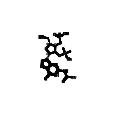 CC(C)C(=O)Nc1nc2c(ncn2[C@@H]2O[C@H](CO)[C@@H](O[PH](=O)O)C2O[Si](C)(C)C(C)(C)C)c(=O)[nH]1